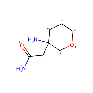 NC(=O)CC1(N)CCCOC1